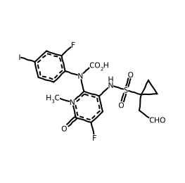 Cn1c(N(C(=O)O)c2ccc(I)cc2F)c(NS(=O)(=O)C2(CC=O)CC2)cc(F)c1=O